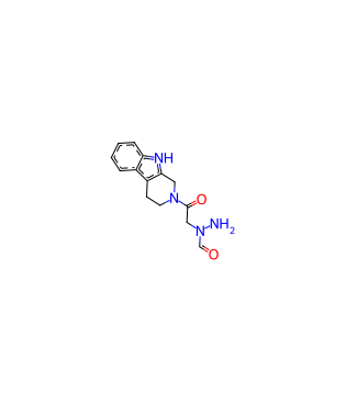 NN(C=O)CC(=O)N1CCc2c([nH]c3ccccc23)C1